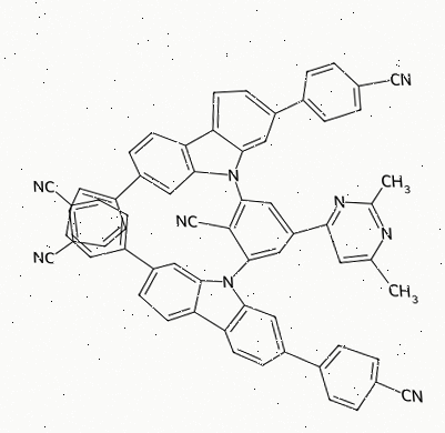 Cc1cc(-c2cc(-n3c4cc(-c5ccc(C#N)cc5)ccc4c4ccc(-c5ccc(C#N)cc5)cc43)c(C#N)c(-n3c4cc(-c5ccc(C#N)cc5)ccc4c4ccc(-c5ccc(C#N)cc5)cc43)c2)nc(C)n1